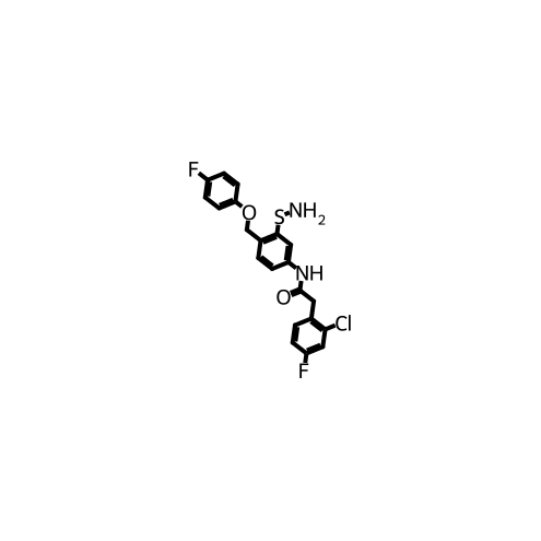 NSc1cc(NC(=O)Cc2ccc(F)cc2Cl)ccc1COc1ccc(F)cc1